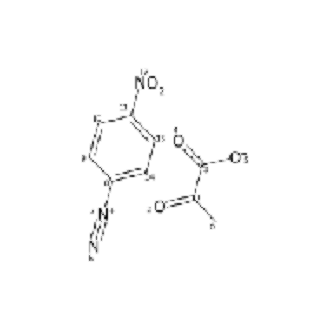 CC(=O)C(=O)[O-].N#[N+]c1ccc([N+](=O)[O-])cc1